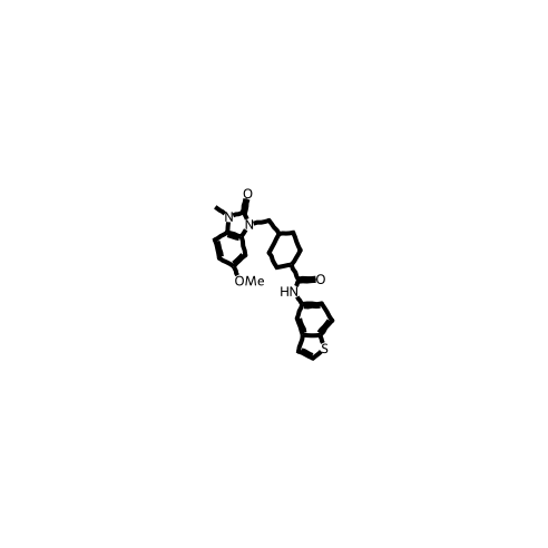 COc1ccc2c(c1)n(CC1CCC(C(=O)Nc3ccc4sccc4c3)CC1)c(=O)n2C